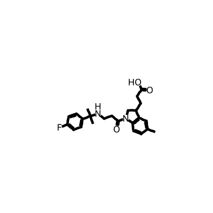 Cc1ccc2c(c1)C(CCC(=O)O)CN2C(=O)CCNC(C)(C)c1ccc(F)cc1